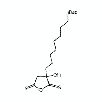 CCCCCCCCCCCCCCCCCCC1(O)CC(=S)OC1=S